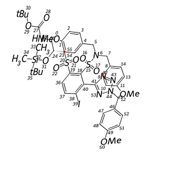 COc1ccc(CN(Cc2ccc(OC)cc2)S(=O)(=O)c2c(S(=O)(=O)C[C@@H](CNC(=O)OC(C)(C)C)O[Si](C)(C)C(C)(C)C)ccc(I)c2-c2nnn(Cc3ccc(OC)cc3)n2)cc1